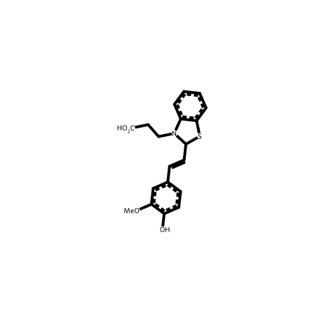 COc1cc(C=CC2Sc3ccccc3N2CCC(=O)O)ccc1O